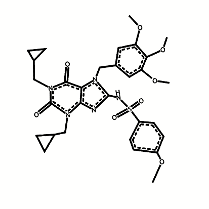 COc1ccc(S(=O)(=O)Nc2nc3c(c(=O)n(CC4CC4)c(=O)n3CC3CC3)n2Cc2cc(OC)c(OC)c(OC)c2)cc1